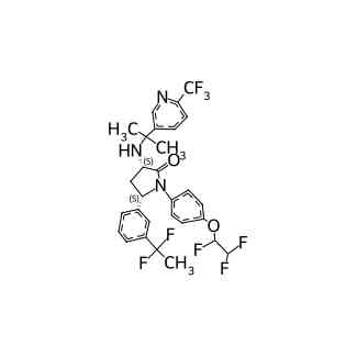 CC(F)(F)c1cccc([C@@H]2C[C@H](NC(C)(C)c3ccc(C(F)(F)F)nc3)C(=O)N2c2ccc(OC(F)C(F)F)cc2)c1